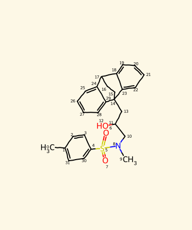 Cc1ccc(S(=O)(=O)N(C)CC(O)CC23CCC(c4ccccc42)c2ccccc23)cc1